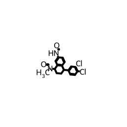 CN(C=O)C1CCC(c2ccc(Cl)c(Cl)c2)c2ccc(NC=O)cc21